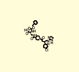 O=C(N[C@@H](CNC(=O)C1CCN(C(=O)CC(CNC2=NCCN2)c2ccc(Cl)cc2)CC1)C(=O)O)OCc1ccccc1